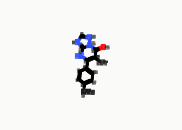 CNc1ccc(-c2[nH]c3ncnn3c(=O)c2C(C)C)cc1